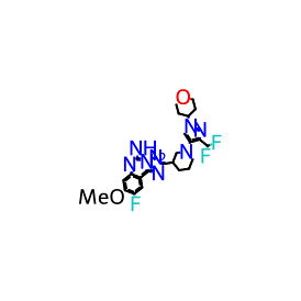 COc1cc2nc(N)n3nc(C4CCCN(c5cn(C6CCOCC6)nc5C(F)F)C4)nc3c2cc1F